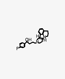 O[C@@H](CCCN1CC[C@H]2[C@@H](C1)c1cccc3c1N2CCC3)c1ccc(F)cc1